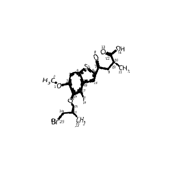 COc1cc2sc(C(=O)C[C@H](C)C(=O)O)cc2c(F)c1OCC(C)CBr